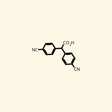 N#Cc1ccc(C(C(=O)O)c2ccc(C#N)cc2)cc1